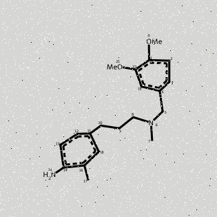 COc1ccc(CN(C)CCCc2ccc(N)c(C)c2)cc1OC